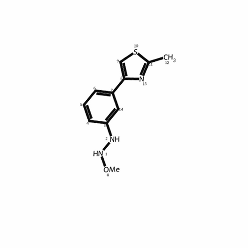 CONNc1cccc(-c2csc(C)n2)c1